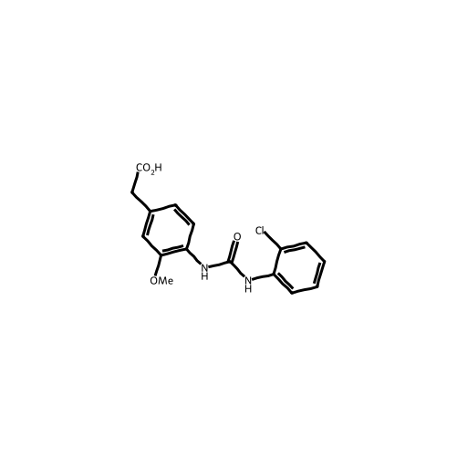 COc1cc(CC(=O)O)ccc1NC(=O)Nc1ccccc1Cl